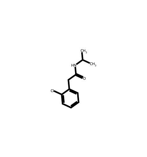 CC(C)NC(=O)Cc1ccccc1Cl